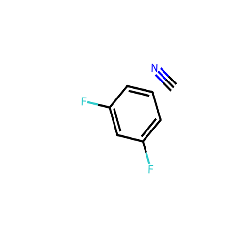 C#N.Fc1cccc(F)c1